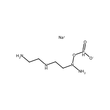 NCCNCCN(N)O[PH](=O)[O-].[Na+]